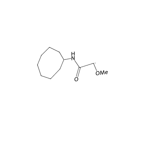 CO[CH]C(=O)NC1CCCCCCC1